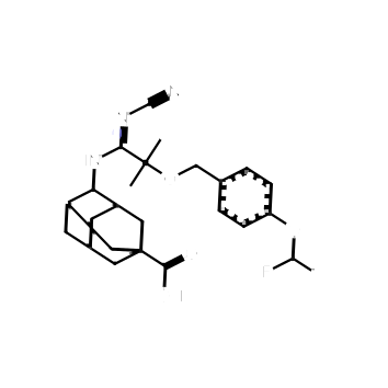 CC(C)(OCc1ccc(OC(F)F)cc1)/C(=N\C#N)NC1C2CC3CC1CC(C(=O)O)(C3)C2